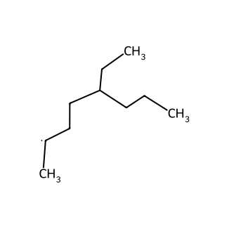 C[CH]CCC(CC)CCC